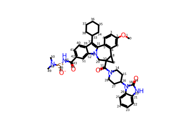 COc1ccc2c(c1)C1CC1(C(=O)N1CCC(n3c(=O)[nH]c4ccccc43)CC1)Cn1c-2c(C2CCCCC2)c2ccc(C(=O)N[S+]([O-])N(C)C)cc21